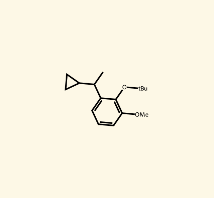 COc1cccc(C(C)C2CC2)c1OC(C)(C)C